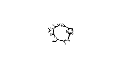 C=C[C@@H]1CC(=O)NCc2nc(cs2)C2=N[C@@](C)(CS2)C(=O)N[C@@H](C(C)C)C(=O)O1